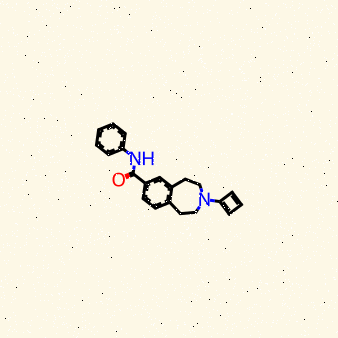 O=C(Nc1ccccc1)c1ccc2c(c1)CCN(C1=CC=C1)CC2